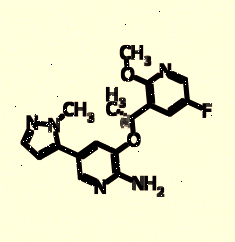 COc1ncc(F)cc1[C@@H](C)Oc1cc(-c2ccnn2C)cnc1N